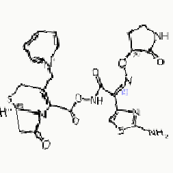 Nc1nc(/C(=N/O[C@H]2CCNC2=O)C(=O)NOC(=O)C2=C(C[n+]3ccccc3)CS[C@@H]3CC(=O)N23)cs1